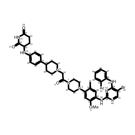 COc1cc(N2CCN(C(=O)CN3CCC(c4ccc(NC5CCC(=O)NC5=O)cc4)CC3)CC2)c(C)cc1Nc1ncc(Br)c(Nc2ccccc2C(C)=O)n1